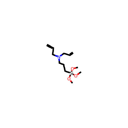 C=CCN(CC=C)CCC[Si](OC)(OC)OC